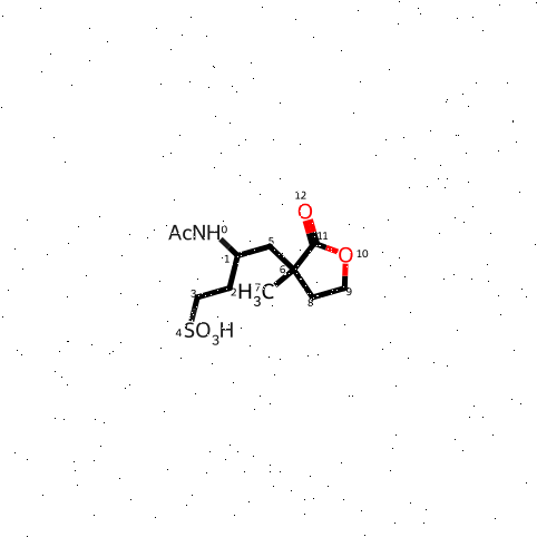 CC(=O)NC(CCS(=O)(=O)O)CC1(C)CCOC1=O